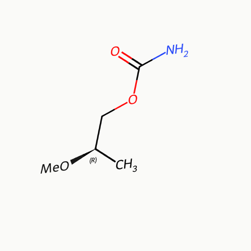 CO[C@H](C)COC(N)=O